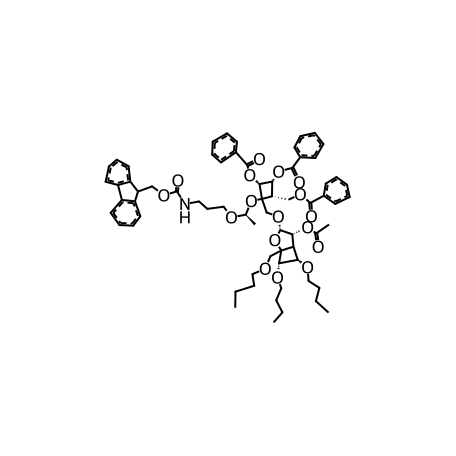 CCCCOCC12O[C@H](OCC3(O[C@@H](C)OCCCNC(=O)OCC4c5ccccc5-c5ccccc54)[C@@H](COC(=O)c4ccccc4)[C@@H](OC(=O)c4ccccc4)[C@@H]3OC(=O)c3ccccc3)[C@H](OC(C)=O)C1[C@@H](OCCCC)[C@@H]2OCCCC